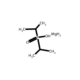 CC(C)P(=O)(O)C(C)C.[MgH2]